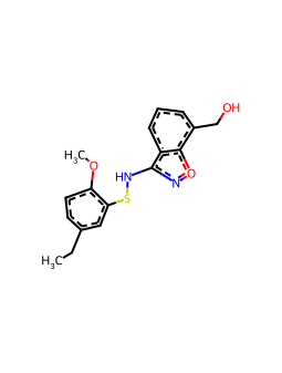 CCc1ccc(OC)c(SNc2noc3c(CO)cccc23)c1